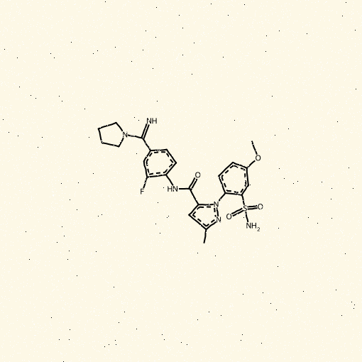 COc1ccc(-n2nc(C)cc2C(=O)Nc2ccc(C(=N)N3CCCC3)cc2F)c(S(N)(=O)=O)c1